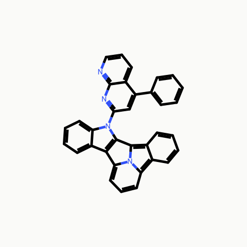 c1ccc(-c2cc(-n3c4ccccc4c4c3c3c5ccccc5c5cccc4n53)nc3ncccc23)cc1